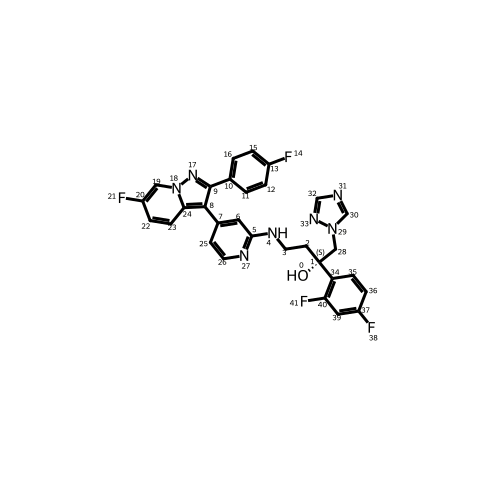 O[C@](CCNc1cc(-c2c(-c3ccc(F)cc3)nn3cc(F)ccc23)ccn1)(Cn1cncn1)c1ccc(F)cc1F